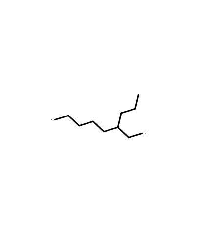 [CH2]CCCCC(C[CH2])CCC